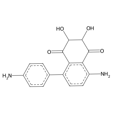 Nc1ccc(-c2ccc(N)c3c2C(=O)C(O)C(O)C3=O)cc1